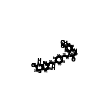 COc1ncc2ncc(=O)n(CCN3CCC(NCc4ccc5c(n4)NC(=O)CS5)CC3)c2n1